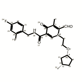 Cc1c(C=O)n(CCO[C@@H]2CC[C@H](C)C2)cc(C(=O)NCc2ccc(F)cc2F)c1=O